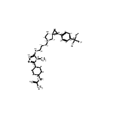 CC(=O)NC1CCC(c2nnc(SCCCN3CC[C@@]4(C[C@H]4c4ccc(C(F)(F)F)cc4)C3)n2C)CC1